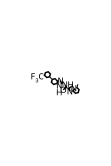 Cc1cccc2nc(C(=O)Nc3nc4cc(-c5cccc(C(F)(F)F)c5)ccc4[nH]3)cn12